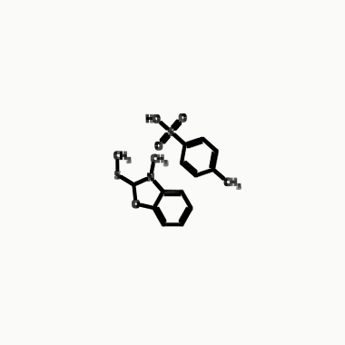 CSC1Oc2ccccc2N1C.Cc1ccc(S(=O)(=O)O)cc1